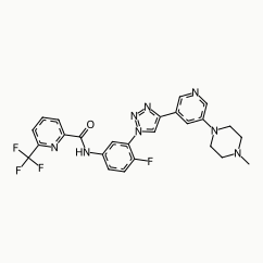 CN1CCN(c2cncc(-c3cn(-c4cc(NC(=O)c5cccc(C(F)(F)F)n5)ccc4F)nn3)c2)CC1